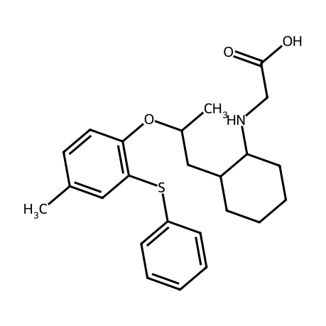 Cc1ccc(OC(C)CC2CCCCC2NCC(=O)O)c(Sc2ccccc2)c1